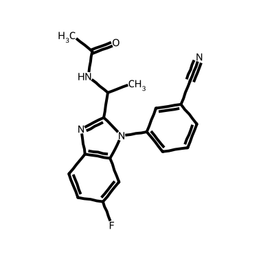 CC(=O)NC(C)c1nc2ccc(F)cc2n1-c1cccc(C#N)c1